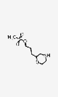 CS(=O)(=O)OCCCC1CNCCO1